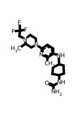 Cc1nc(N2CCN(CC(F)(F)F)C(C)C2)ccc1NC1CCC(NC(N)=O)CC1